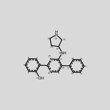 Oc1ccccc1-c1ncc(-c2ccccc2)c(NC2CCNC2)n1